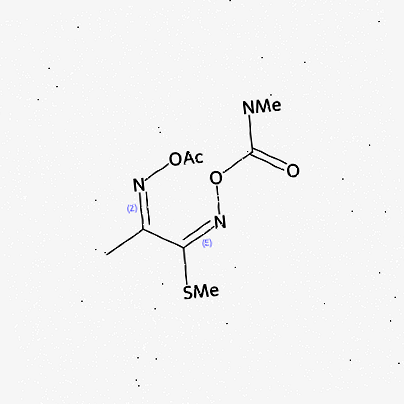 CNC(=O)O/N=C(SC)\C(C)=N/OC(C)=O